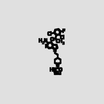 C[C@@H](Oc1c(N)ncc2c1ccn2CCC1CCN(C(=O)NC(C)(C)C)CC1)c1c(Cl)ccc(F)c1Cl